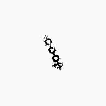 CN1CCN(c2ccc(-c3ccc(C(O)(C(F)(F)F)C(F)(F)F)cc3)cn2)CC1